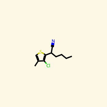 CCCCC(C#N)c1scc(C)c1Cl